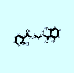 O=C(NCCNC(=O)c1c(F)cccc1F)c1cccnc1Cl